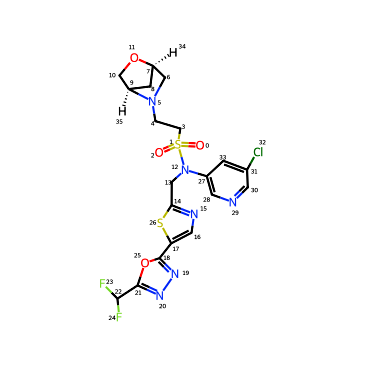 O=S(=O)(CCN1C[C@H]2C[C@@H]1CO2)N(Cc1ncc(-c2nnc(C(F)F)o2)s1)c1cncc(Cl)c1